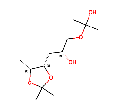 C[C@H]1OC(C)(C)O[C@H]1C[C@@H](O)COC(C)(C)O